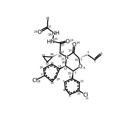 C=CC[C@@H]1O[C@@H](c2cccc(Cl)c2)[C@@H](c2ccc(Cl)cc2)N([C@@H](C(=O)NNC(C)=O)C2CC2)C1=O